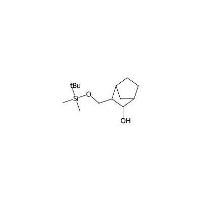 CC(C)(C)[Si](C)(C)OCC1C2CCC(C2)C1O